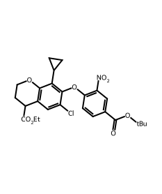 CCOC(=O)C1CCOc2c1cc(Cl)c(Oc1ccc(C(=O)OC(C)(C)C)cc1[N+](=O)[O-])c2C1CC1